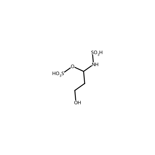 O=S(=O)(O)NC(CCO)OS(=O)(=O)O